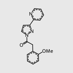 COc1ccccc1CC(=O)n1ccc(-c2ccccn2)n1